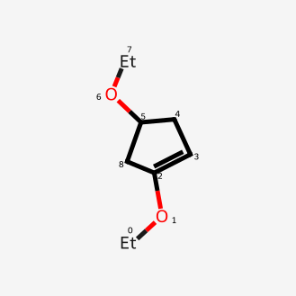 CCOC1=CCC(OCC)C1